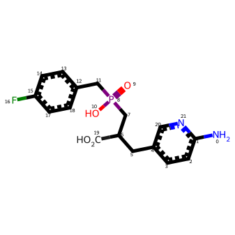 Nc1ccc(CC(CP(=O)(O)Cc2ccc(F)cc2)C(=O)O)cn1